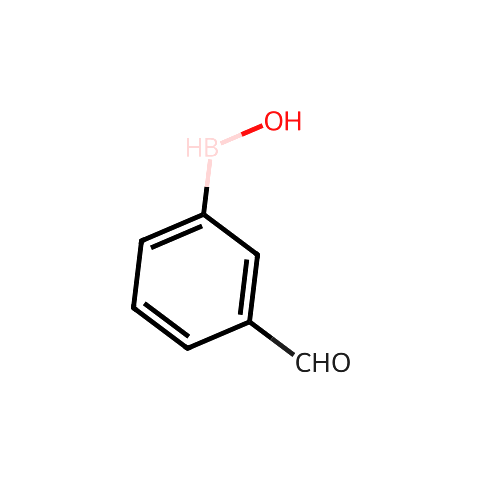 O=Cc1cccc(BO)c1